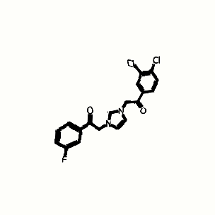 O=C(CN1[CH]N(CC(=O)c2ccc(Cl)c(Cl)c2)C=C1)c1cccc(F)c1